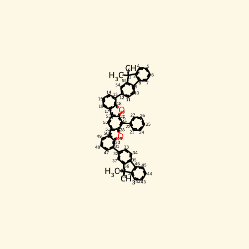 CC1(C)c2ccccc2-c2ccc(-c3cccc4c3oc3c(-c5ccccc5)c5oc6c(-c7ccc8c(c7)C(C)(C)c7ccccc7-8)cccc6c5cc34)cc21